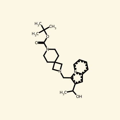 CC(O)c1cc2ccccn2c1CN1CC2(CCN(C(=O)OC(C)(C)C)CC2)C1